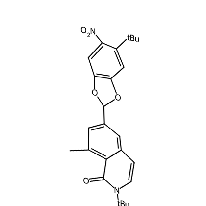 Cc1cc(C2Oc3cc([N+](=O)[O-])c(C(C)(C)C)cc3O2)cc2ccn(C(C)(C)C)c(=O)c12